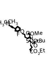 CCOC(=O)CCCN(C(=O)OC(C)(C)C)c1nc(C(=O)OC)c(CCCOc2ccc(C#CCN(C)C)cc2F)s1